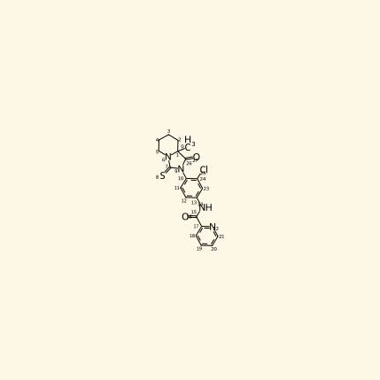 CC12CCCCN1C(=S)N(c1ccc(NC(=O)c3ccccn3)cc1Cl)C2=O